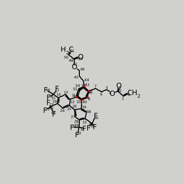 C=CC(=O)OCCCc1ccc(-c2cc(C(F)(F)F)c(C(F)(F)F)cc2-c2cc(C(F)(F)F)c(C(F)(F)F)cc2-c2ccc(CCCOC(=O)C=C)cc2)cc1